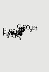 CCOC(=O)c1ccc(-n2ccc(OCCC3(C)C(C)C3(C)C)n2)nc1Cl